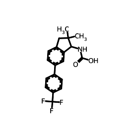 CC1(C)Cc2ccc(-c3ccc(C(F)(F)F)cc3)cc2C1NC(=O)O